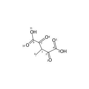 [CH2]C(C(=O)C(=O)O)C(=O)C(=O)O